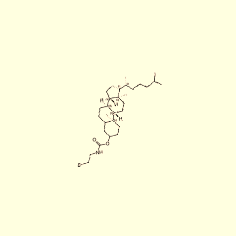 CC(C)CCC[C@@H](C)[C@H]1CC[C@H]2[C@@H]3CCC4CC(OC(=O)NCCBr)CC[C@]4(C)[C@H]3CC[C@]12C